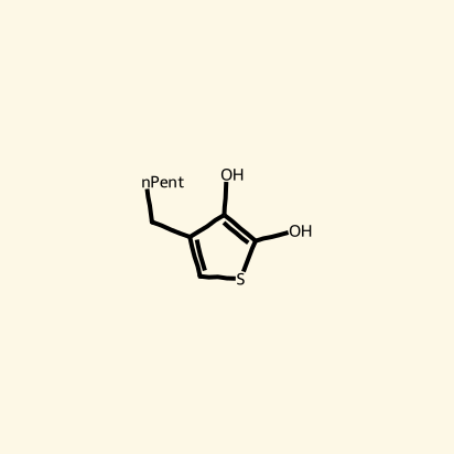 CCCCCCc1csc(O)c1O